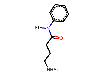 CCN(C(=O)CCCNC(C)=O)c1ccccc1